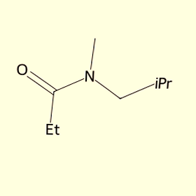 [CH2]CC(=O)N(C)CC(C)C